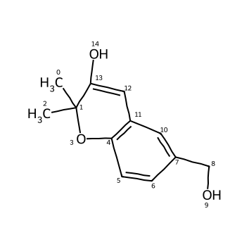 CC1(C)Oc2ccc(CO)cc2C=C1O